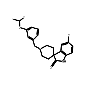 O=C1Nc2ccc(Cl)cc2C12CCN(Cc1cccc(OC(F)F)c1)CC2